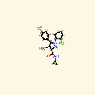 Cc1c(C(=O)NC2CC2)nn(-c2ccccc2Cl)c1-c1ccc(Cl)cc1